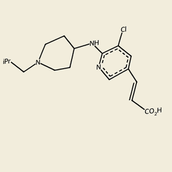 CC(C)CN1CCC(Nc2ncc(C=CC(=O)O)cc2Cl)CC1